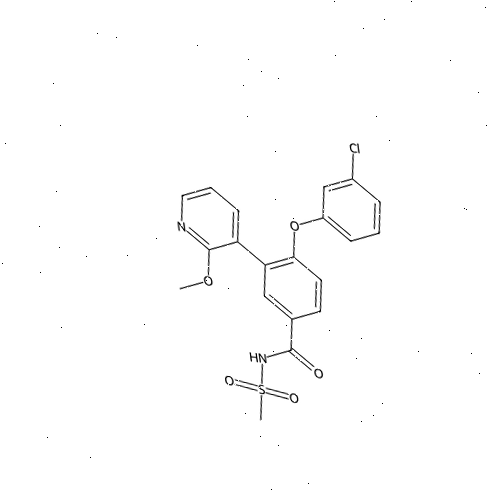 COc1ncccc1-c1cc(C(=O)NS(C)(=O)=O)ccc1Oc1cccc(Cl)c1